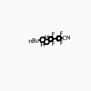 CCCC[C@@H]1CC[C@@H]2c3cc(F)c(-c4cc(F)c(C#N)c(F)c4)c(F)c3CC[C@H]2C1